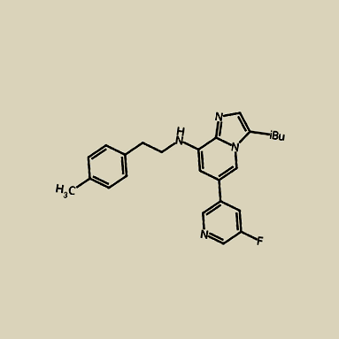 CCC(C)c1cnc2c(NCCc3ccc(C)cc3)cc(-c3cncc(F)c3)cn12